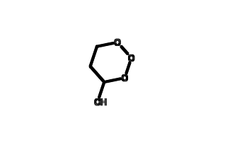 OC1CCOOO1